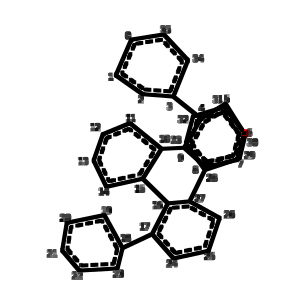 c1ccc(-c2ccccc2-c2ccccc2-c2c(-c3ccccc3)cccc2-c2ccccc2)cc1